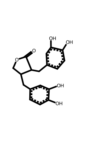 O=C1OCC(Cc2ccc(O)c(O)c2)C1Cc1ccc(O)c(O)c1